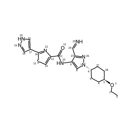 CCO[C@H]1CC[C@H](n2cc(NC(=O)c3csc(-c4cn[nH]c4)n3)c(C=N)n2)CC1